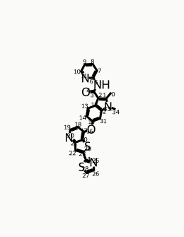 Cc1c(C(=O)Nc2ccccn2)c2ccc(Oc3ccnc4cc(-c5nccs5)sc34)cc2n1C